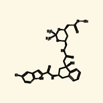 CC(C)(C)OC(=O)C[C@H]1C[C@@H](CNC(=O)C[C@@]2(O)C[C@H](NC(=O)c3cc4cc(Cl)ccc4[nH]3)Cc3ccccc32)OC(C)(C)O1